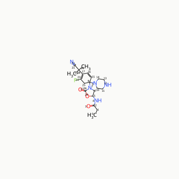 CCC(=O)NC1CN(C2(N3CCNCC3)C=CC(C(C)(C)C#N)=C(F)C2)C(=O)O1